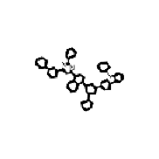 c1ccc(-c2cccc(-c3cc(-c4ccc(-c5cc(-c6ccccc6)cc(-c6ccc7c8ccccc8n(-c8ccccc8)c7c6)c5)c5ccccc45)nc(-c4ccccc4)n3)c2)cc1